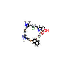 CCc1cc2n(c1C(=O)O)CCCOc1cc(cc3ccccc13)SCc1cc(nn1C)CSCc1nn(C)c(C)c1/C=C(Cl)/C=C\2